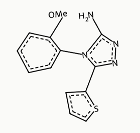 COc1ccccc1-n1c(N)nnc1-c1cccs1